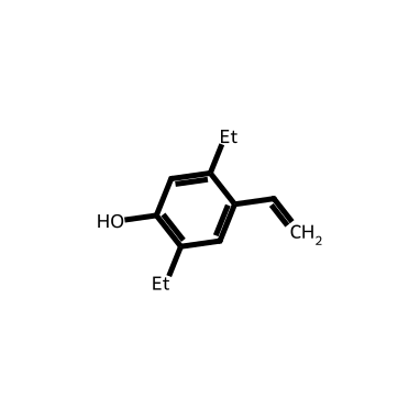 C=Cc1cc(CC)c(O)cc1CC